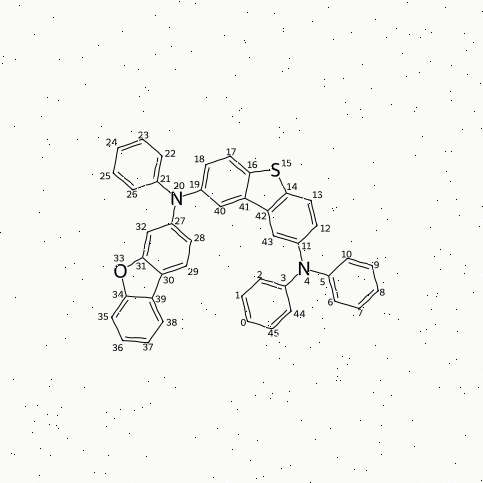 c1ccc(N(c2ccccc2)c2ccc3sc4ccc(N(c5ccccc5)c5ccc6c(c5)oc5ccccc56)cc4c3c2)cc1